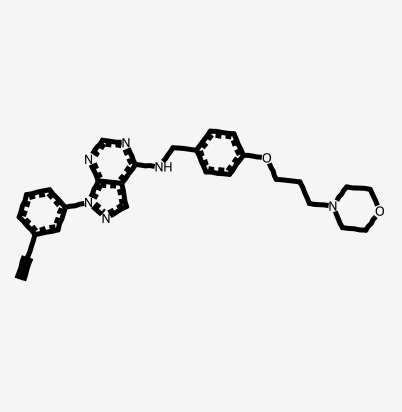 C#Cc1cccc(-n2ncc3c(NCc4ccc(OCCCN5CCOCC5)cc4)ncnc32)c1